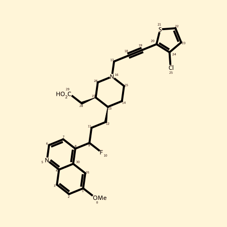 COc1ccc2nccc(C(F)CC[C@@H]3CCN(CC#Cc4sccc4Cl)C[C@@H]3CC(=O)O)c2c1